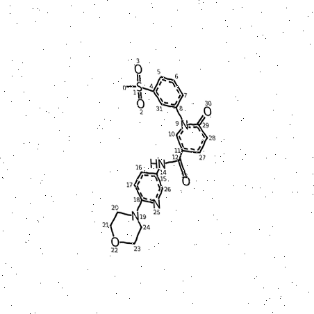 CS(=O)(=O)c1cccc(-n2cc(C(=O)Nc3ccc(N4CCOCC4)nc3)ccc2=O)c1